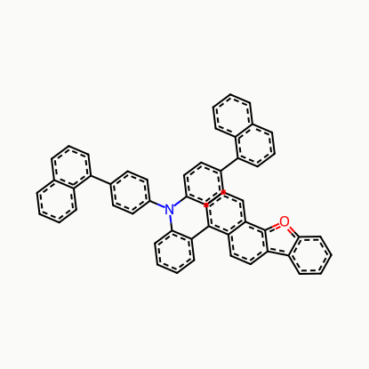 c1ccc(N(c2ccc(-c3cccc4ccccc34)cc2)c2ccc(-c3cccc4ccccc34)cc2)c(-c2cccc3c2ccc2c4ccccc4oc32)c1